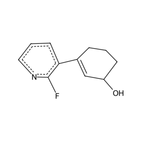 OC1C=C(c2cccnc2F)CCC1